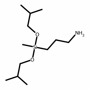 CC(C)CO[Si](C)(CCCN)OCC(C)C